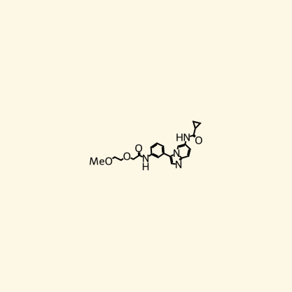 COCCOCC(=O)Nc1cccc(-c2cnc3ccc(NC(=O)C4CC4)cn23)c1